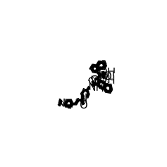 CN(C)c1ccc(/C=C/C(=O)N2CCC(CNC(=O)c3cc4ccccc4cc3C(=O)C(c3cccc4ccccc34)P(=O)(O)O)CC2)cc1